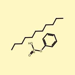 CCCCCCCCCCC.O=[PH](O)Oc1ccccc1